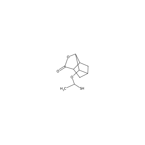 CC(S)OC1C2CC3C(=O)OC1C3C2